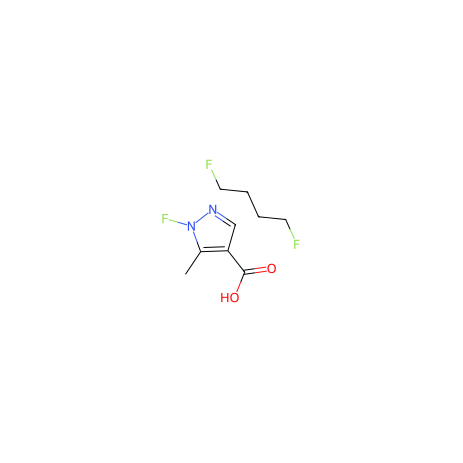 Cc1c(C(=O)O)cnn1F.FCCCCF